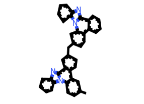 Cc1ccc2c(c1)c1ccc(Cc3ccc4c5ccccc5c5nc6ccccc6n5c4c3)cc1c1nc3ccccc3n21